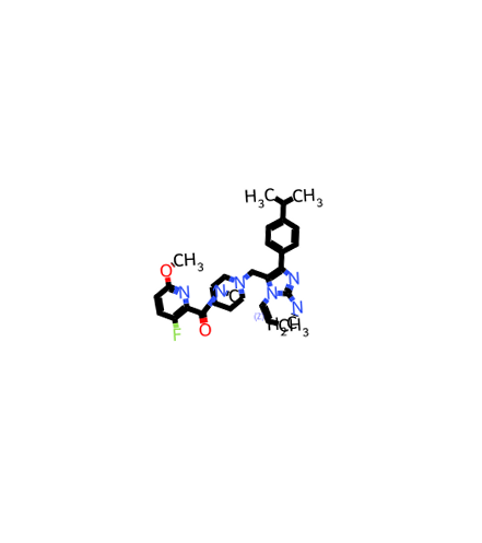 C=Nc1nc(-c2ccc(C(C)C)cc2)c(CN2CC3CCC2CN3C(=O)c2nc(OC)ccc2F)n1/C=C\C